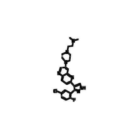 CN(C)CCN1CCN(c2cnc3ccc(-c4c[nH]nc4-c4cc(Cl)ccc4F)nc3c2)CC1